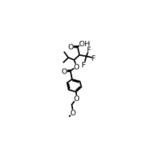 COCOc1ccc(C(=O)OC(C(C)C)C(C(=O)O)C(F)(F)F)cc1